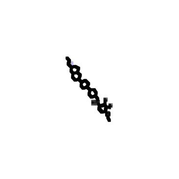 C/C=C/C1CCC2CC(C3CCC(C4CCC(CNc5ccc(OCC)c(F)c5F)CC4)CC3)CCC2C1